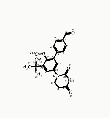 COc1c(-c2ccc(C=O)cc2)cc(N2CCC(=O)NC2=O)cc1C(C)(C)C